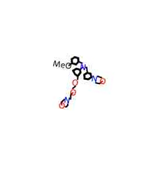 COc1cccc(CN(Cc2cccc(N3CCOCC3)c2)c2cccc(COCCOCCN3CCOCC3)c2)c1